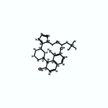 C[Si](C)(C)CCOCn1ncnc1C1CCCN(N2c3c(cnc(Cl)c3F)C=NC2Cl)C1